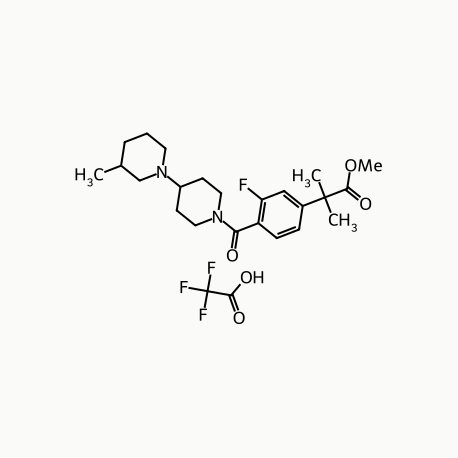 COC(=O)C(C)(C)c1ccc(C(=O)N2CCC(N3CCCC(C)C3)CC2)c(F)c1.O=C(O)C(F)(F)F